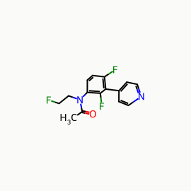 CC(=O)N(CCF)c1ccc(F)c(-c2ccncc2)c1F